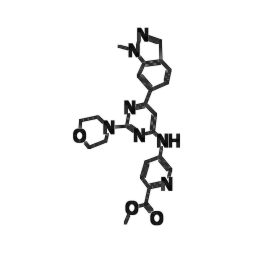 COC(=O)c1ccc(Nc2cc(-c3ccc4cnn(C)c4c3)nc(N3CCOCC3)n2)cn1